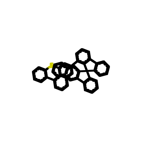 c1ccc2c(c1)Sc1cc(-c3cccc4c3C3(c5ccccc5-c5cc6ccccc6cc53)c3ccccc3-4)cc3cccc-2c13